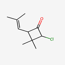 CC(C)=CC1C(=O)C(Cl)C1(C)C